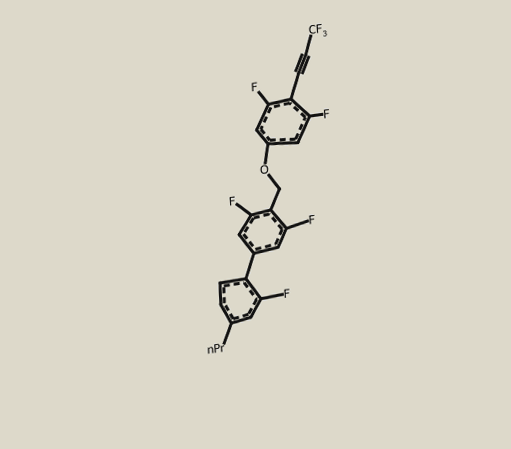 CCCc1ccc(-c2cc(F)c(COc3cc(F)c(C#CC(F)(F)F)c(F)c3)c(F)c2)c(F)c1